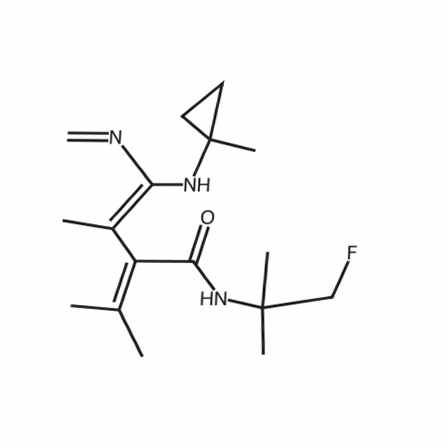 C=N/C(NC1(C)CC1)=C(\C)C(C(=O)NC(C)(C)CF)=C(C)C